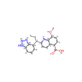 CCC(c1ccc2c(C(=O)O)ccc(OC)c2n1)c1cccc2[nH]nnc12